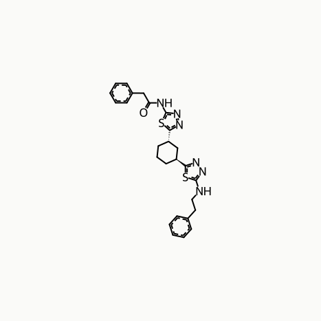 O=C(Cc1ccccc1)Nc1nnc([C@H]2CCC[C@H](c3nnc(NCCc4ccccc4)s3)C2)s1